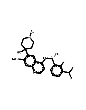 COc1cc2nccc(N[C@H](C)c3cccc(C(F)F)c3F)c2cc1C1(O)CCN(C(C)=O)CC1